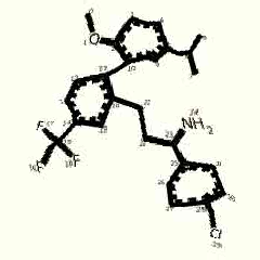 COc1ccc(C(C)C)cc1-c1ccc(C(F)(F)F)cc1[CH]CC(N)c1ccc(Cl)cc1